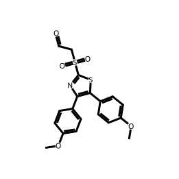 COc1ccc(-c2nc(S(=O)(=O)CC=O)sc2-c2ccc(OC)cc2)cc1